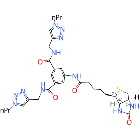 CCCn1cc(CNC(=O)c2cc(NC(=O)CCCC[C@H]3SC[C@H]4NC(=O)N[C@H]43)cc(C(=O)NCc3cn(CCC)nn3)c2)nn1